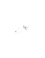 c1ccc(-c2cc(-c3ccccc3)nc(-n3c4ccccc4c4cc(-c5ccccc5-c5ccccc5-c5ccc6sc7ccccc7c6c5)ccc43)n2)cc1